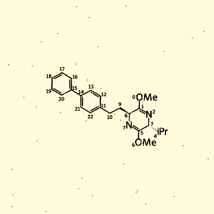 COC1=N[C@H](C(C)C)C(OC)=N[C@H]1CCc1ccc(-c2ccccc2)cc1